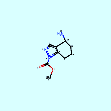 CC(C)(C)OC(=O)n1ncc2c1CCCC2N